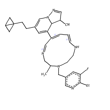 CCc1ncc(CN2CCN/C=C/C=C(C3=CC(CCC45CC4C5)=CN4N=CC(C#N)C34)\C=N/CC2C)cc1F